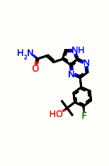 CC(C)(O)c1cc(-c2cnc3[nH]cc(/C=C/C(N)=O)c3n2)ccc1F